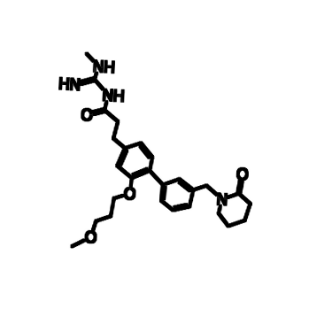 CNC(=N)NC(=O)CCc1ccc(-c2cccc(CN3CCCCC3=O)c2)c(OCCCOC)c1